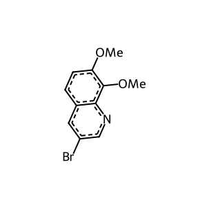 COc1ccc2cc(Br)cnc2c1OC